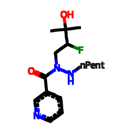 CCCCCNN(CC(F)C(C)(C)O)C(=O)c1cccnc1